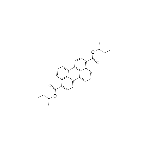 CCC(C)OC(=O)c1ccc2c3cccc4c(C(=O)OC(C)CC)ccc(c5cccc1c52)c43